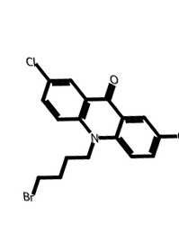 O=c1c2cc(Cl)ccc2n(CCCCBr)c2ccc(Cl)cc12